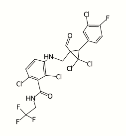 O=CC1(CNc2ccc(Cl)c(C(=O)NCC(F)(F)F)c2Cl)C(c2ccc(F)c(Cl)c2)C1(Cl)Cl